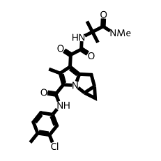 CNC(=O)C(C)(C)NC(=O)C(=O)c1c(C)c(C(=O)Nc2ccc(C)c(Cl)c2)n2c1CC1CC12